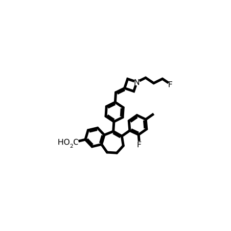 Cc1ccc(C2=C(c3ccc(C=C4CN(CCCF)C4)cc3)c3ccc(C(=O)O)cc3CCC2)c(F)c1